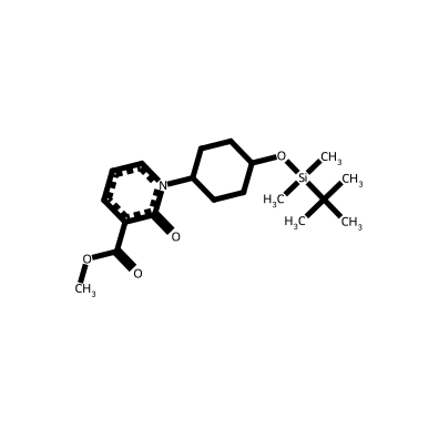 COC(=O)c1cccn(C2CCC(O[Si](C)(C)C(C)(C)C)CC2)c1=O